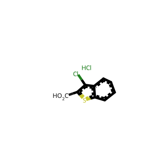 Cl.O=C(O)c1sc2ccccc2c1Cl